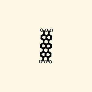 O=C1OC(=O)c2ccc3c4ccc5c6ccc7c8c(ccc(c9ccc(c%10ccc1c2c%103)c4c95)c86)C(=O)OC7=O